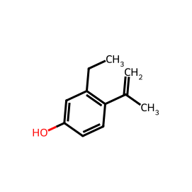 C=C(C)c1ccc(O)cc1CC